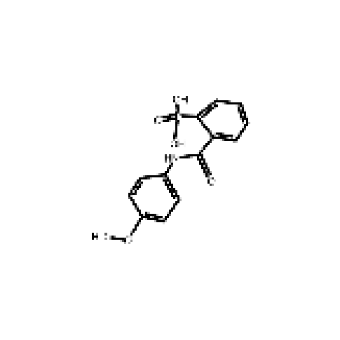 COc1ccc(NC(=O)c2ccccc2P(=O)(O)O)cc1